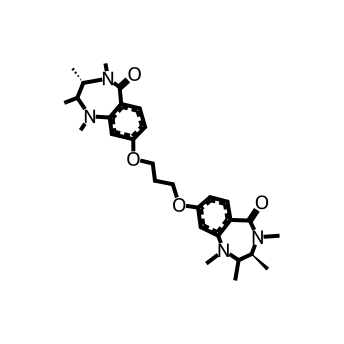 CC1[C@H](C)N(C)C(=O)c2ccc(OCCCOc3ccc4c(c3)N(C)C(C)[C@H](C)N(C)C4=O)cc2N1C